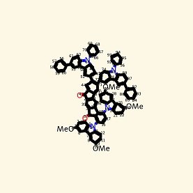 COc1ccc2c(c1)c1cc(OC)ccc1n2-c1ccc(-n2c3ccc(OC)cc3c3cc(OC)ccc32)c2c1c(=O)c1cc3c(=O)c4cc(-c5ccc6c(c5)c5cc(-c7ccccc7)ccc5n6-c5ccccc5)c(-c5ccc6c(c5)c5cc(-c7ccccc7)ccc5n6-c5ccccc5)cc4c3cc12